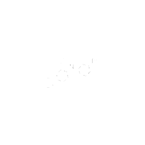 Cc1ccc(N2CC(C)(C)Oc3cc(C(F)(F)F)ccc32)cc1Br